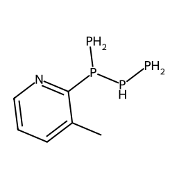 Cc1cccnc1P(P)PP